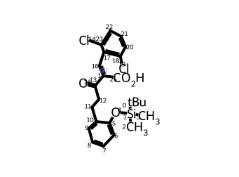 CC(C)(C)[Si](C)(C)Oc1ccccc1CCC(=O)/C(=C/c1c(Cl)cccc1Cl)C(=O)O